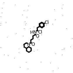 O=C(CCCC(=O)N1CCCC2CCCCC21)NC(Cl)Cc1ccc(Cl)cc1